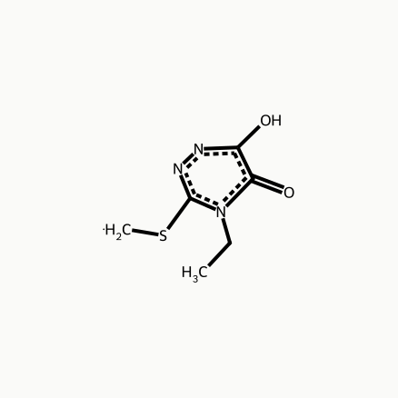 [CH2]Sc1nnc(O)c(=O)n1CC